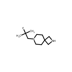 CC(C)(F)CN1CCC2(CC1)CNC2